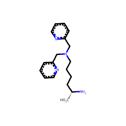 N[C@@H](CCCCN(Cc1ccccn1)Cc1ccccn1)C(=O)O